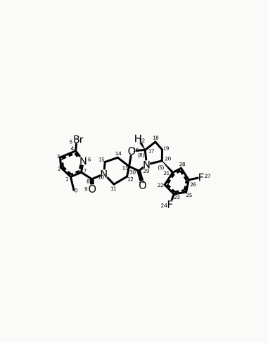 Cc1ccc(Br)nc1C(=O)N1CCC2(CC1)O[C@@H]1CC[C@@H](c3cc(F)cc(F)c3)N1C2=O